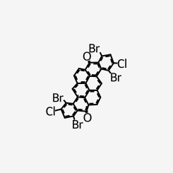 O=c1c2ccc3cc4c5c(Br)c(Cl)cc(Br)c5c(=O)c5ccc6cc(c7c(Br)c(Cl)cc(Br)c17)c2c3c6c54